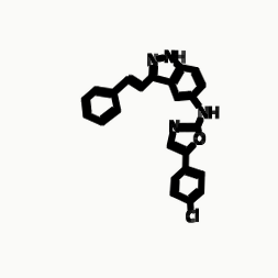 Clc1ccc(-c2cnc(Nc3ccc4[nH]nc(C=Cc5ccccc5)c4c3)o2)cc1